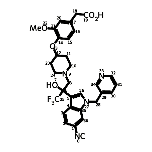 [C-]#[N+]c1ccc2c(C(O)(CN3CCC(Oc4ccc(CC(=O)O)cc4OC)CC3)C(F)(F)F)cn(Cc3cccnc3)c2c1